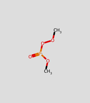 COO[P](=O)OC